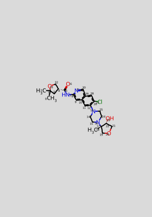 CC1(C)C[C@@H](C(=O)Nc2cc3cc(N4CCN([C@@]5(C)COC[C@H]5O)CC4)c(Cl)cc3cn2)CO1